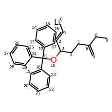 [Li][CH]=CC(CCC(=C)CC)OC(c1ccccc1)(c1ccccc1)c1ccccc1